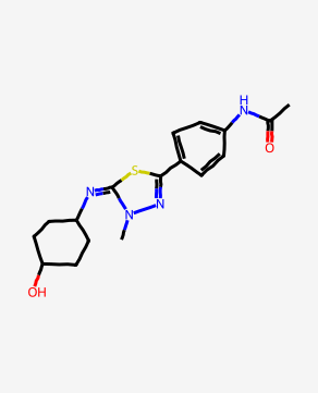 CC(=O)Nc1ccc(-c2nn(C)/c(=N\C3CCC(O)CC3)s2)cc1